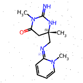 CN1C(=N)N[C@](C)(C/N=c2/ccccn2C)CC1=O